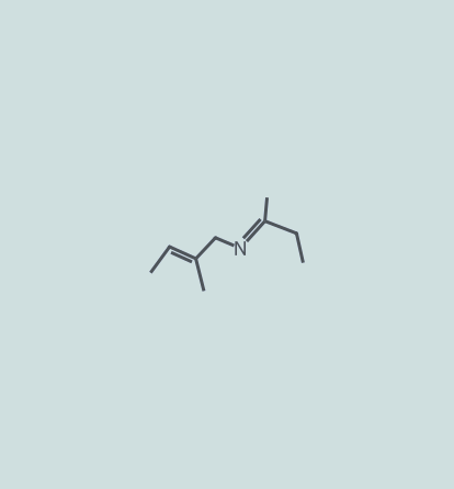 C/C=C(\C)C/N=C(\C)CC